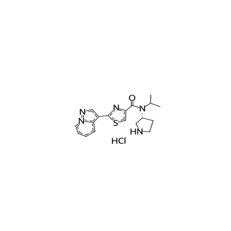 CC(C)N(C(=O)c1csc(-c2cnn3ccccc23)n1)[C@@H]1CCNC1.Cl